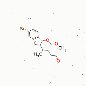 COCOC1c2ccc(Br)cc2CC1C(C)CCC=O